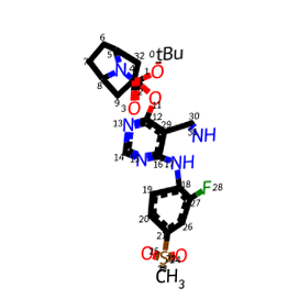 CC(C)(C)OC(=O)N1C2CCC1CC(Oc1ncnc(Nc3ccc(S(C)(=O)=O)cc3F)c1C=N)C2